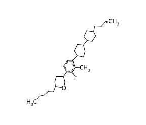 C=CCCC1CCC(C2CCC(c3ccc(C4CCC(CCCCC)OC4)c(F)c3C)CC2)CC1